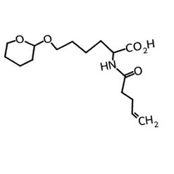 C=CCCC(=O)NC(CCCCOC1CCCCO1)C(=O)O